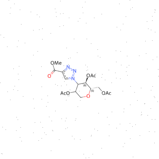 COC(=O)c1cn(C2C(OC(C)=O)CO[C@@H](COC(C)=O)[C@@H]2OC(C)=O)nn1